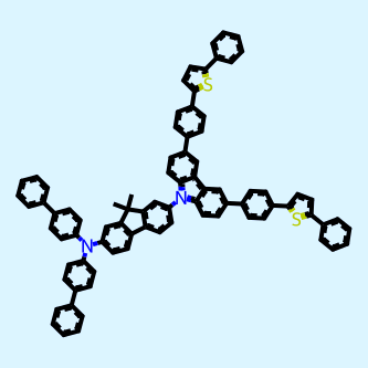 CC1(C)c2cc(N(c3ccc(-c4ccccc4)cc3)c3ccc(-c4ccccc4)cc3)ccc2-c2ccc(-n3c4ccc(-c5ccc(-c6ccc(-c7ccccc7)s6)cc5)cc4c4cc(-c5ccc(-c6ccc(-c7ccccc7)s6)cc5)ccc43)cc21